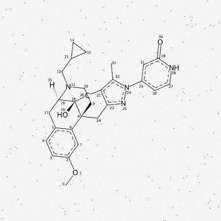 COc1ccc2c(c1)[C@]13CCN(CC4CC4)[C@H](C2)[C@]1(O)Cc1c(nn(-c2cc[nH]c(=O)c2)c1C)C3